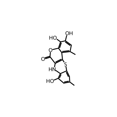 Cc1cc(O)c2c(c1)Sc1c(c(=O)oc3c(O)c(O)cc(C)c13)N2